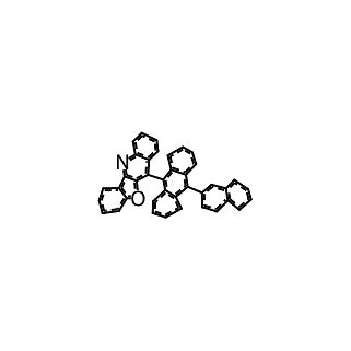 c1ccc2cc(-c3c4ccccc4c(-c4c5ccccc5nc5c4oc4ccccc45)c4ccccc34)ccc2c1